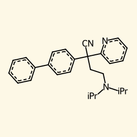 CC(C)N(CCC(C#N)(c1ccc(-c2ccccc2)cc1)c1ccccn1)C(C)C